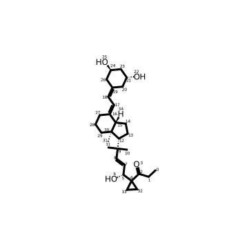 CCC(=O)C1([C@H](O)/C=C/C(C)(C)[C@H]2CC[C@H]3/C(=C/C=C4C[C@@H](O)C[C@H](O)C4)CCC[C@]23C)CC1